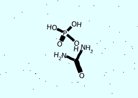 NC(N)=O.O=P(O)(O)O